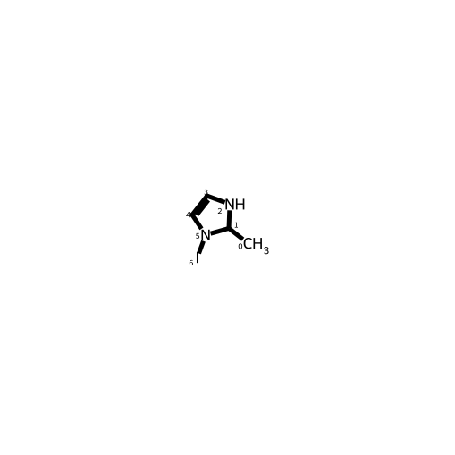 CC1NC=CN1I